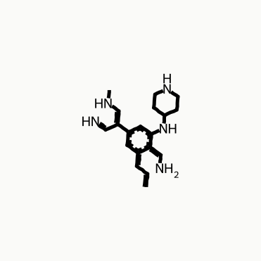 C=C/C=c1/cc(/C(C=N)=C/NC)cc(NC2CCNCC2)/c1=C/N